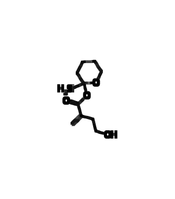 C=C(CCO)C(=O)OC1([SiH3])CCCCO1